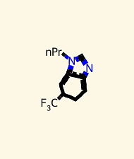 CCCn1cnc2c1=CC(C(F)(F)F)CC=2